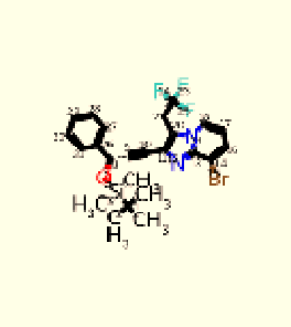 CC(C)(C)[Si](C)(C)O[C@@H](C#Cc1nc2c(Br)cccn2c1CC(F)(F)F)c1ccccc1